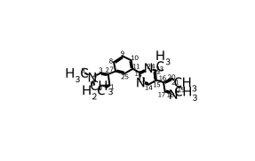 C=C/C(=C\N(C)C)c1cccc(-c2ncc(C(/C=N\C)=C/C)c(C)n2)c1